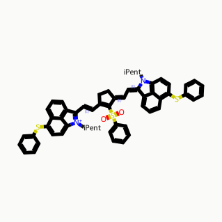 CCCC(C)n1/c(=C/C=C2\CCC(/C=C/C3=[N+](C(C)CCC)c4ccc(Sc5ccccc5)c5cccc3c45)=C2S(=O)(=O)c2ccccc2)c2cccc3c(Sc4ccccc4)ccc1c32